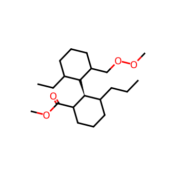 CCCC1CCCC(C(=O)OC)[C@H]1C1C(CC)CCCC1COOC